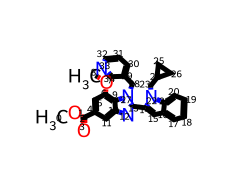 COC(=O)c1cc(OC)c2c(c1)nc(-c1cc3ccccc3n1CC1CC1)n2Cc1cccnc1